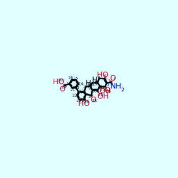 NC(=O)C1=C(O)C[C@@H]2C[C@@H]3Cc4c(-c5cccc(C(=O)O)c5)ccc(O)c4C(=O)C3=C(O)[C@]2(O)C1=O